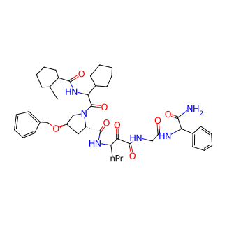 CCCC(NC(=O)[C@@H]1C[C@@H](OCc2ccccc2)CN1C(=O)C(NC(=O)C1CCCCC1C)C1CCCCC1)C(=O)C(=O)NCC(=O)NC(C(N)=O)c1ccccc1